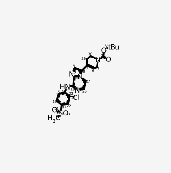 CC(C)(C)OC(=O)N1CC=C(c2cnc3c(Nc4ccc(S(C)(=O)=O)cc4Cl)nccn23)CC1